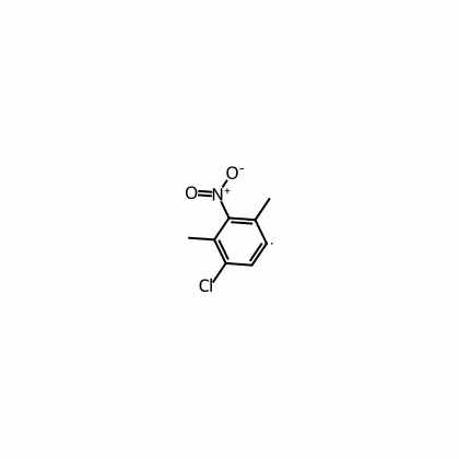 Cc1[c]cc(Cl)c(C)c1[N+](=O)[O-]